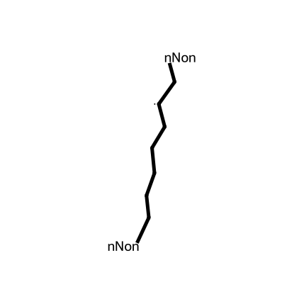 CCCCCCCCCC[CH]CCCCCCCCCCCCCC